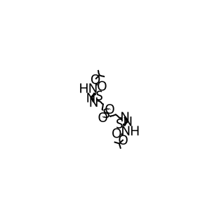 CC(C)OC(=O)Nc1nnc(CCS(=O)(=O)CCc2nnc(NC(=O)OC(C)C)s2)s1